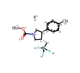 CC(C)(C)OC(=O)N1C[C@@H](C[B-](F)(F)F)[C@H](c2ccc(C#N)cc2)C1.[K+]